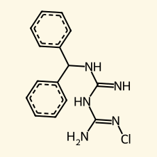 N=C(NC(N)=NCl)NC(c1ccccc1)c1ccccc1